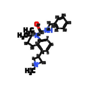 CN1CC(c2cccc3c2CCC(C)(C)N3C(=O)NCc2ccccc2)C1